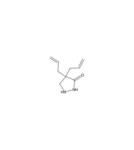 C=CCC1(CC=C)CNNC1=O